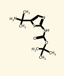 CC(C)(C)OC(=O)Nc1ncc(C(C)(C)N)s1